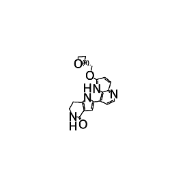 O=C1NCCc2[nH]c(-c3ccnc4ccc(OC[C@H]5CCO5)nc34)cc21